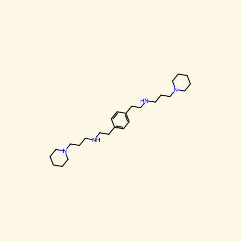 c1cc(CCNCCCN2CCCCC2)ccc1CCNCCCN1CCCCC1